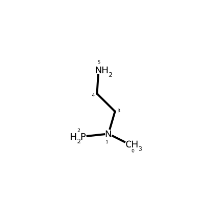 CN(P)CCN